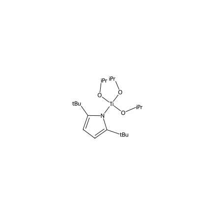 CC(C)[O][Ti]([O]C(C)C)([O]C(C)C)[n]1c(C(C)(C)C)ccc1C(C)(C)C